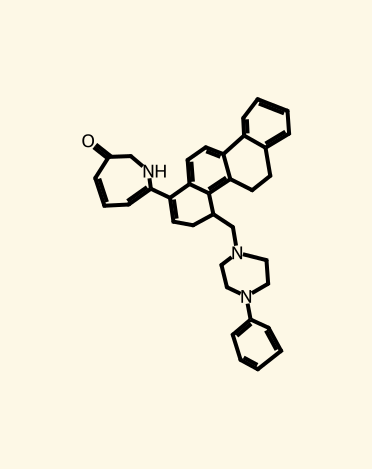 O=C1C=CC=C(C2=CCC(CN3CCN(c4ccccc4)CC3)c3c2ccc2c3CCc3ccccc3-2)NC1